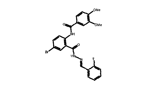 COc1ccc(C(=O)Nc2ccc(Br)cc2C(=O)NN=Cc2ccccc2F)cc1OC